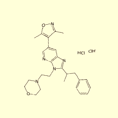 Cc1noc(C)c1-c1cnc2c(c1)nc(C(C)Cc1ccccc1)n2CCN1CCOCC1.Cl.Cl